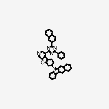 c1ccc(-c2nc(-c3ccc4ccccc4c3)nc(-c3cncc4oc5cc(-n6c7ccccc7c7cc8ccccc8cc76)ccc5c34)n2)cc1